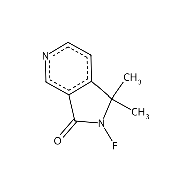 CC1(C)c2ccncc2C(=O)N1F